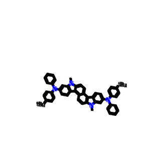 Cn1c2cc(N(c3ccccc3)c3ccc(C(C)(C)C)cc3)ccc2c2c3ccc4c(c3ccc21)c1ccc(N(c2ccccc2)c2ccc(C(C)(C)C)cc2)cc1n4C